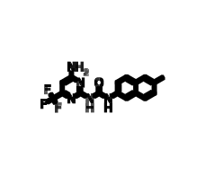 Cc1ccc2cc(NC(=O)Nc3nc(N)cc(C(F)(F)F)n3)ccc2c1